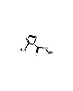 CCCNC(=S)n1ncnc1N